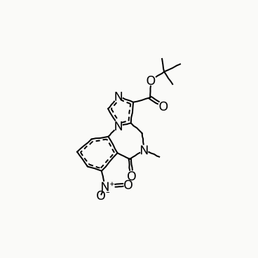 CN1Cc2c(C(=O)OC(C)(C)C)ncn2-c2cccc([N+](=O)[O-])c2C1=O